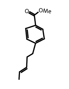 CC=CCCc1ccc(C(=O)OC)cc1